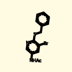 CC(=O)Nc1cnc(SCc2ccccc2)c(Br)c1